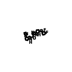 O=C(c1cc2c(-n3cccn3)cccc2[nH]1)c1cnn2c1[nH]c1cc(Oc3cccc(F)c3F)ccc12